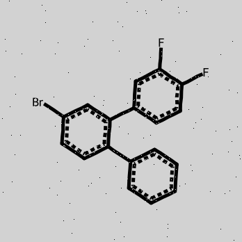 Fc1ccc(-c2cc(Br)ccc2-c2ccccc2)cc1F